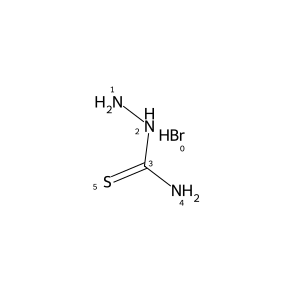 Br.NNC(N)=S